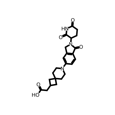 O=C(O)CC1CC2(CCN(c3ccc4c(c3)CN(C3CCC(=O)NC3=O)C4=O)CC2)C1